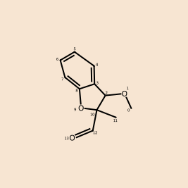 COC1c2ccccc2OC1(C)C=O